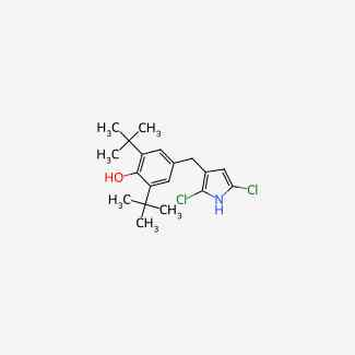 CC(C)(C)c1cc(Cc2cc(Cl)[nH]c2Cl)cc(C(C)(C)C)c1O